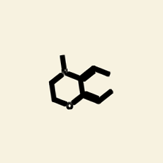 C/C=C1/OCCN(C)/C1=C/C